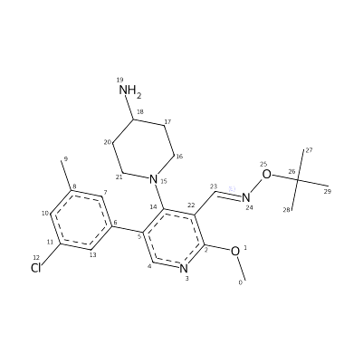 COc1ncc(-c2cc(C)cc(Cl)c2)c(N2CCC(N)CC2)c1/C=N/OC(C)(C)C